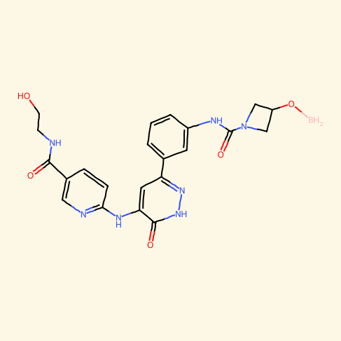 BOC1CN(C(=O)Nc2cccc(-c3cc(Nc4ccc(C(=O)NCCO)cn4)c(=O)[nH]n3)c2)C1